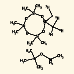 C[SiH2]O[Si](C)(C)C.[2H]C[Si]1(C([2H])([2H])[2H])O[Si](C)(C)O[Si](C)(C)O[Si](C)(C)O1